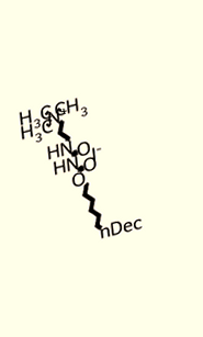 CCCCCCCCCCCCCCCCOC(=O)NC(=O)NCCC[N+](C)(C)C.[I-]